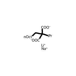 CCCCCCCCCC(C(=O)[O-])(C(=O)[O-])C(C)C.[Li+].[Na+]